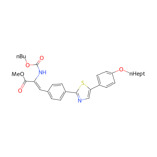 CCCCCCCOc1ccc(-c2cnc(-c3ccc(C=C(NC(=O)OCCCC)C(=O)OC)cc3)s2)cc1